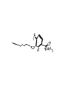 CCCCCCOc1c(F)ccc(C(N)=O)c1F